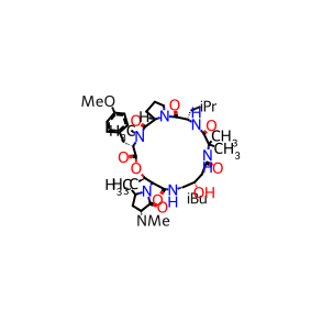 CC[C@H](C)[C@H]1NC(=O)[C@@H](N2C(=O)[C@H](NC)CC2C)[C@@H](C)OC(=O)[C@H](Cc2ccc(OC)cc2)N(C)C(=O)[C@@H]2CCCN2C(=O)[C@H](CC(C)C)NC(=O)C(C)(C)NC(=O)C[C@@H]1O